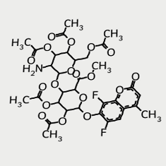 COC(=O)C1OC(Oc2c(F)cc3c(C)cc(=O)oc3c2F)C(OC(C)=O)C(OC(C)=O)C1OC1OC(COC(C)=O)C(OC(C)=O)C(OC(C)=O)C1N